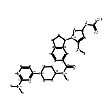 COC1=CC(OC(=O)O)ON1[C@@H]1CCc2ccc(C(=O)N(C)C3CCN(c4ccnc(N(C)C)n4)CC3)cc21